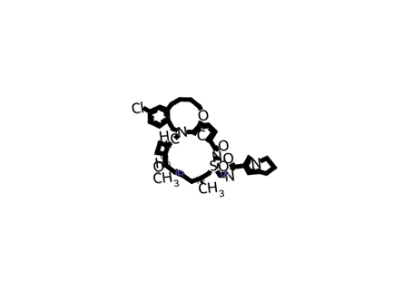 CO[C@H]1/C=C/C[C@H](C)CS(=O)(/C=N\C(=O)c2cc3n(c2)CCC3)=NC(=O)c2ccc3c(c2)N(Cc2ccc(Cl)cc2CCCCO3)C[C@@H]2CC[C@H]21